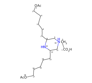 CC(=O)O.CC(=O)OCCCCCC1CNCC(CCCCCOC(C)=O)N1